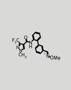 CO/N=C/c1cccc(-c2ccccc2NC(=O)c2cn(C)nc2C(F)(F)F)c1